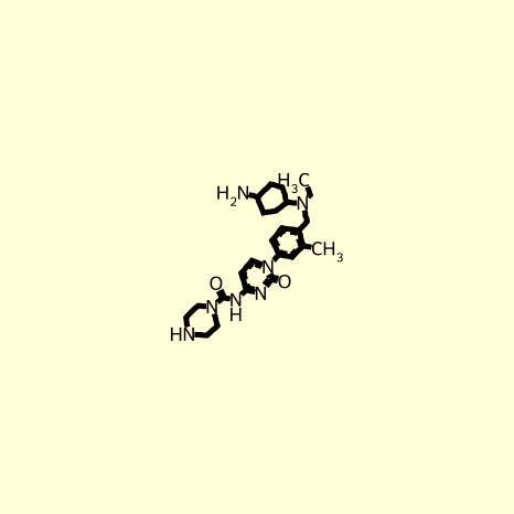 CCN(Cc1ccc(-n2ccc(NC(=O)N3CCNCC3)nc2=O)cc1C)C1CCC(N)CC1